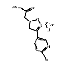 COC(=O)CC1CC(c2ccc(Cl)nc2)=NO1.[Na+].[O-]Cl